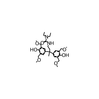 CCN(CC)C(=O)NCCC(C)(c1cc(COC)c(O)c(COC)c1)c1cc(COC)c(O)c(COC)c1